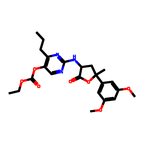 CCCc1nc(NC2CC(C)(c3cc(OC)cc(OC)c3)OC2=O)ncc1OC(=O)OCC